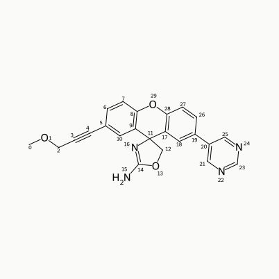 COCC#Cc1ccc2c(c1)C1(COC(N)=N1)c1cc(-c3cncnc3)ccc1O2